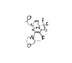 CC(=O)CN1CCC(C(F)(F)F)n2c1nc(N1CCOCC1C)c(F)c2=O